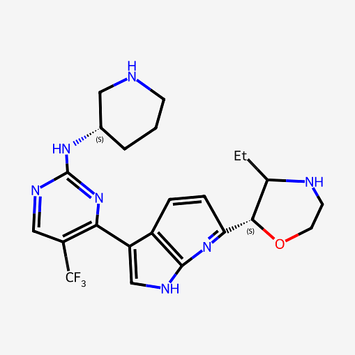 CCC1NCCO[C@@H]1c1ccc2c(-c3nc(N[C@H]4CCCNC4)ncc3C(F)(F)F)c[nH]c2n1